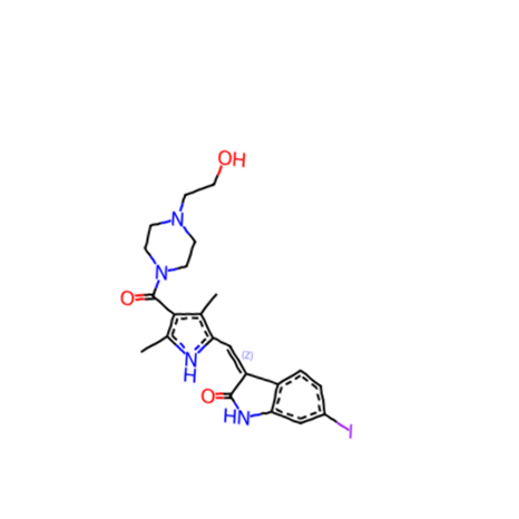 Cc1[nH]c(/C=C2\C(=O)Nc3cc(I)ccc32)c(C)c1C(=O)N1CCN(CCO)CC1